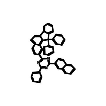 c1ccc(-c2nc(-c3ccc4ccccc4c3)nc(-c3ccc4ccc5c(c4c3)C(c3ccccc3)(c3ccccc3)c3ccccc3-5)n2)cc1